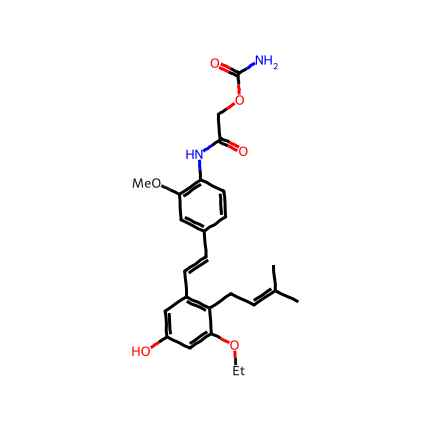 CCOc1cc(O)cc(/C=C/c2ccc(NC(=O)COC(N)=O)c(OC)c2)c1CC=C(C)C